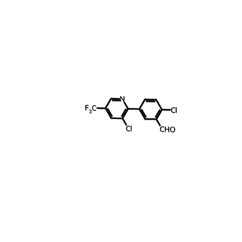 O=Cc1cc(-c2ncc(C(F)(F)F)cc2Cl)ccc1Cl